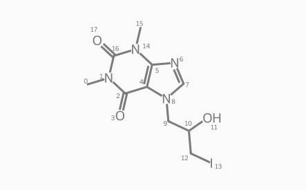 Cn1c(=O)c2c(ncn2CC(O)CI)n(C)c1=O